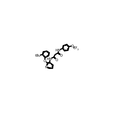 CC(C)(C)c1ccccc1Oc1ncccc1NC(=O)CC(=O)Nc1ccc(OC(F)(F)F)cc1